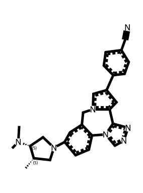 C[C@H]1CN(c2ccc3c(c2)Cn2cc(-c4ccc(C#N)cc4)cc2-c2nncn2-3)C[C@H]1N(C)C